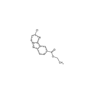 CCOC(=O)c1ccc2nn3ccc(Cl)nc3c2c1